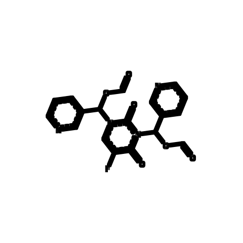 O=COC(c1cccnc1)n1cc(F)c(=O)n(C(OC=O)c2cccnc2)c1=O